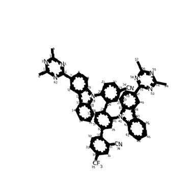 Cc1nc(C)nc(-c2ccc3c(c2)c2ccccc2n3-c2ccc(C#N)cc2-c2ccc(-c3ccc(C(F)(F)F)cc3C#N)cc2-n2c3ccccc3c3cc(-c4nc(C)nc(C)n4)ccc32)n1